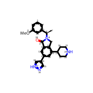 COc1cccc([C@@H](C)N2Cc3c(cc(-c4cn[nH]c4)cc3C3CCNCC3)C2=O)c1